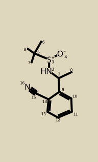 CC(N[S+]([O-])C(C)(C)C)c1ccccc1C#N